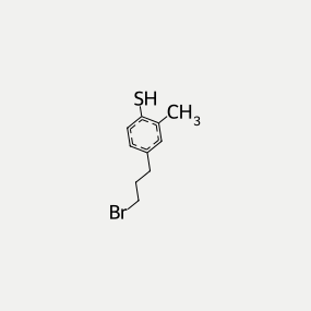 Cc1cc(CCCBr)ccc1S